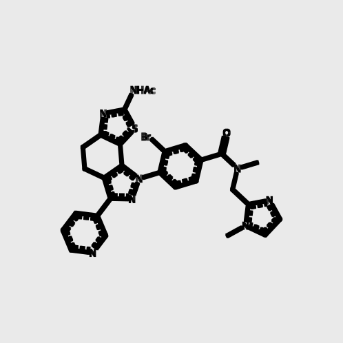 CC(=O)Nc1nc2c(s1)-c1c(c(-c3cccnc3)nn1-c1ccc(C(=O)N(C)Cc3nccn3C)cc1Br)CC2